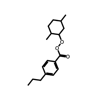 CCCc1ccc(C(=O)OO[C]2CC(C)CCC2C)cc1